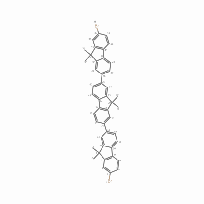 CC1(C)c2cc(Br)ccc2-c2ccc(-c3ccc4c(c3)C(C)(C)c3cc(-c5ccc6c(c5)C(C)(C)c5cc(Br)ccc5-6)ccc3-4)cc21